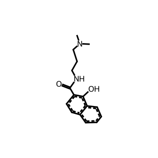 CN(C)CCCNC(=O)c1ccc2ccccc2c1O